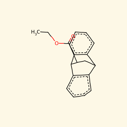 CCOC(=O)C1CC2c3ccccc3C1c1ccccc12